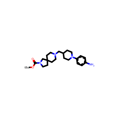 CC(C)(C)OC(=O)N1CCC2(CCN(CC3CCN(c4ccc(N)cc4)CC3)CC2)C1